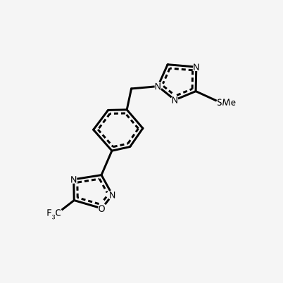 CSc1ncn(Cc2ccc(-c3noc(C(F)(F)F)n3)cc2)n1